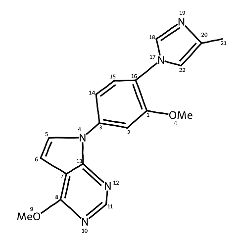 COc1cc(-n2ccc3c(OC)ncnc32)ccc1-n1cnc(C)c1